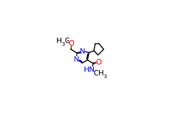 CNC(=O)c1cnc(COC)nc1C1CCCC1